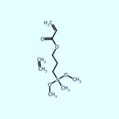 C=C.C=CC(=O)OCCC[Si](C)(OC)OC